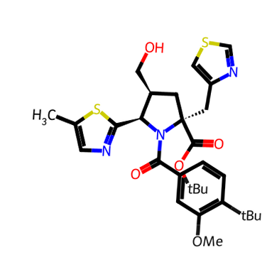 COc1cc(C(=O)N2[C@@H](c3ncc(C)s3)[C@@H](CO)C[C@@]2(Cc2cscn2)C(=O)OC(C)(C)C)ccc1C(C)(C)C